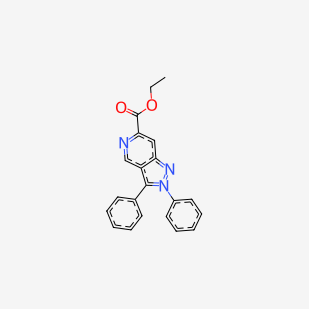 CCOC(=O)c1cc2nn(-c3ccccc3)c(-c3ccccc3)c2cn1